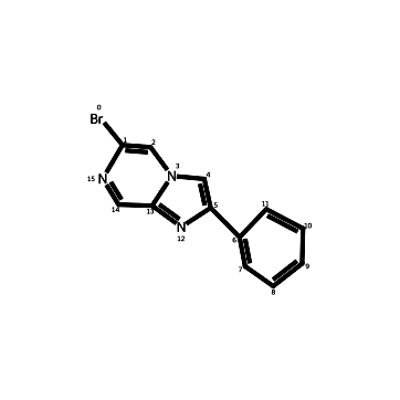 Brc1cn2cc(-c3ccccc3)nc2cn1